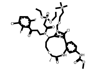 CCOP(=O)(CC(=O)N(CCC(=O)c1c(F)ccc(Cl)c1F)[C@H]1CCC[C@@H](C)C(=O)Nc2cc(NC(=O)OC)ccc2-c2nc1n(COCC[Si](C)(C)C)c2Cl)OCC